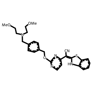 COCCN(CCOC)Cc1ccc(COc2nccc(C(C#N)=C3Nc4ccccc4S3)n2)cc1